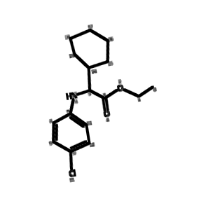 CCOC(=O)C(Nc1ccc(Cl)cc1)C1CCCCC1